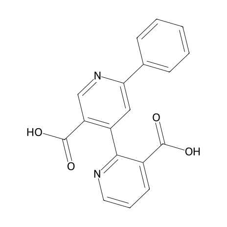 O=C(O)c1cnc(-c2ccccc2)cc1-c1ncccc1C(=O)O